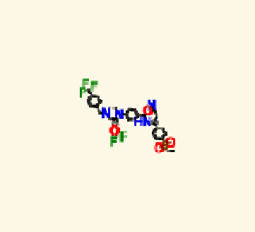 CCS(=O)(=O)c1ccc([C@H](CC#N)NC(=O)c2ccc(N3CCN(Cc4ccc(C(F)(F)F)cc4)C[C@H]3COC(F)F)cc2)cc1